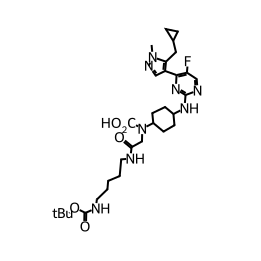 Cn1ncc(-c2nc(NC3CCC(N(CC(=O)NCCCCCNC(=O)OC(C)(C)C)C(=O)O)CC3)ncc2F)c1CC1CC1